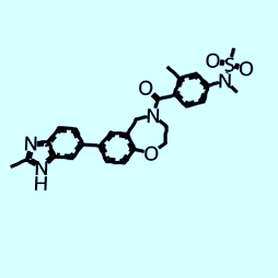 Cc1nc2ccc(-c3ccc4c(c3)CN(C(=O)c3ccc(N(C)S(C)(=O)=O)cc3C)CCO4)cc2[nH]1